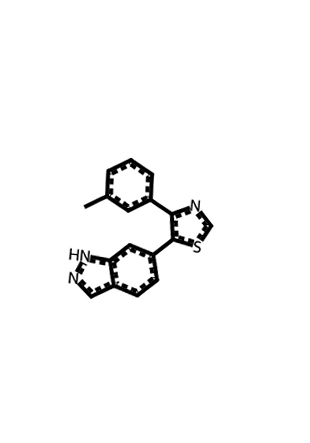 Cc1cccc(-c2ncsc2-c2ccc3cn[nH]c3c2)c1